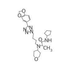 CC(C(=O)NC1CCCC1)N(CCCCn1nnc(-c2ccc3c(c2)OCO3)n1)C1CCOCC1